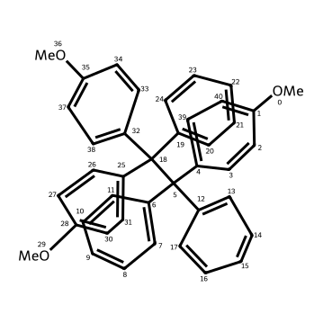 COc1ccc(C(c2ccccc2)(c2ccccc2)C(c2ccccc2)(c2ccc(OC)cc2)c2ccc(OC)cc2)cc1